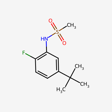 CC(C)(C)c1ccc(F)c(NS(C)(=O)=O)c1